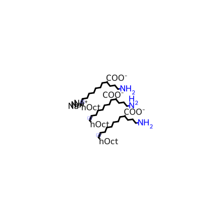 CCCCCCCC/C=C\CCCCCCC(CCCN)C(=O)[O-].CCCCCCCC/C=C\CCCCCCC(CCCN)C(=O)[O-].CCCCCCCC/C=C\CCCCCCC(CCCN)C(=O)[O-].[Na+].[Na+].[Na+]